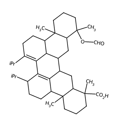 CC(C)C1=C2C3=C4C(CC5C(C)(C(=O)O)CCCC5(C)C4CCC3C(C)C)C3CC4C(C)(OC=O)CCCC4(C)C(CC1)C23